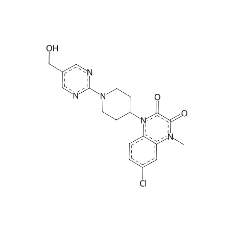 Cn1c(=O)c(=O)n(C2CCN(c3ncc(CO)cn3)CC2)c2ccc(Cl)cc21